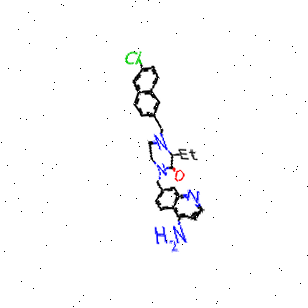 CC[C@H]1C(=O)N(Cc2ccc3c(N)ccnc3c2)CCN1Cc1ccc2cc(Cl)ccc2c1